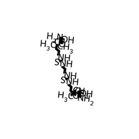 CC(C)(CCCNC(=S)NCCCNC(=S)NCCCC(C)(C)OP(N)(=O)O)OP(N)(=O)O